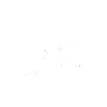 CC(OC(=O)Nc1c(F)cnn1-c1ccccc1-c1ccc(C2(C(=O)O)CC2)cc1)c1ccccc1